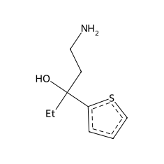 CCC(O)(CCN)c1cccs1